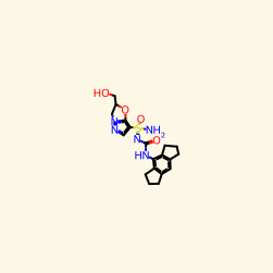 NS(=O)(=NC(=O)Nc1c2c(cc3c1CCC3)CCC2)c1cnn2c1OC(CO)C2